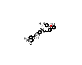 N[C@H]1CC[C@H](N(C(=O)O)c2cc(CCCn3nnc4cc(CNC[C@H](O)c5ccc(O)c6[nH]c(=O)ccc56)ccc43)ccc2-c2ccccc2)CC1